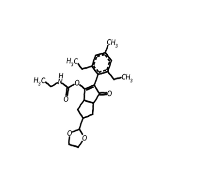 CCNC(=O)OC1=C(c2c(CC)cc(C)cc2CC)C(=O)C2CC(C3OCCO3)CC12